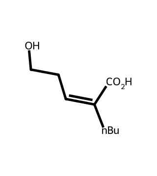 CCCC/C(=C/CCO)C(=O)O